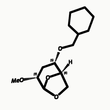 CO[C@@H]1C[C@H](OCC2CCCCC2)[C@H]2COC1O2